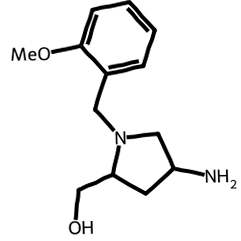 COc1ccccc1CN1CC(N)CC1CO